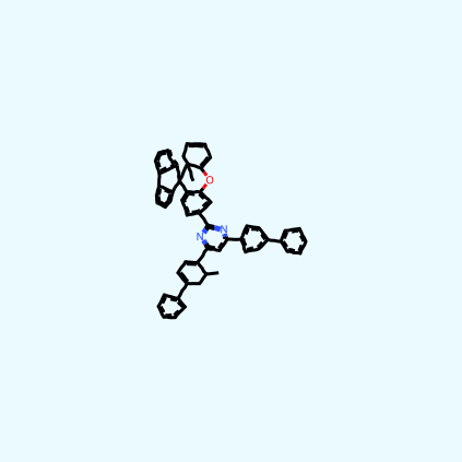 CC1CC(c2ccccc2)=CC=C1c1cc(-c2ccc(-c3ccccc3)cc2)nc(-c2ccc3c(c2)OC2=CC=CCC2(C)C32c3ccccc3-c3ccccc32)n1